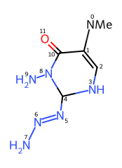 CNC1=CNC(N=NN)N(N)C1=O